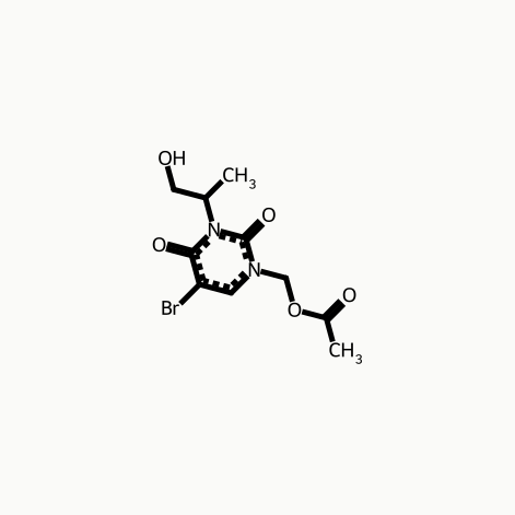 CC(=O)OCn1cc(Br)c(=O)n(C(C)CO)c1=O